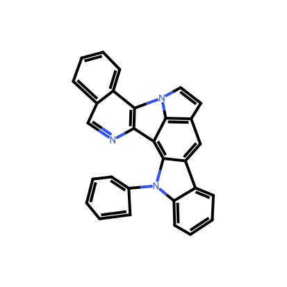 c1ccc(-n2c3ccccc3c3cc4ccn5c6c7ccccc7cnc6c(c32)c45)cc1